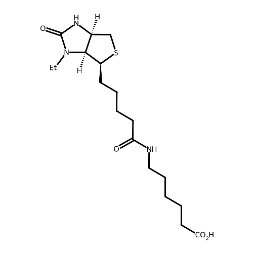 CCN1C(=O)N[C@H]2CS[C@@H](CCCCC(=O)NCCCCCC(=O)O)[C@H]21